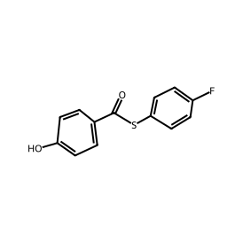 O=C(Sc1ccc(F)cc1)c1ccc(O)cc1